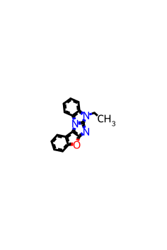 CCn1c2ccccc2n2c3c(nc12)oc1ccccc13